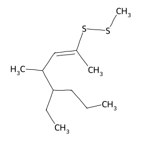 CCCC(CC)C(C)/C=C(\C)SSC